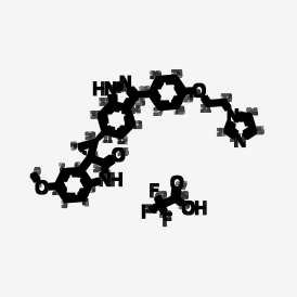 COc1ccc2c(c1)[C@]1(C[C@H]1c1ccc3c(-c4ccc(OCCn5ccnc5)cc4)n[nH]c3c1)C(=O)N2.O=C(O)C(F)(F)F